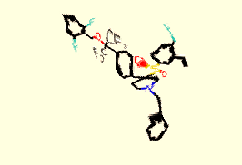 C=Cc1cc(S(=O)(=O)C2(c3ccc(C(OCc4c(F)cccc4F)(C(F)(F)F)C(F)(F)F)cc3)CCN(Cc3ccccc3)C2)ccc1F